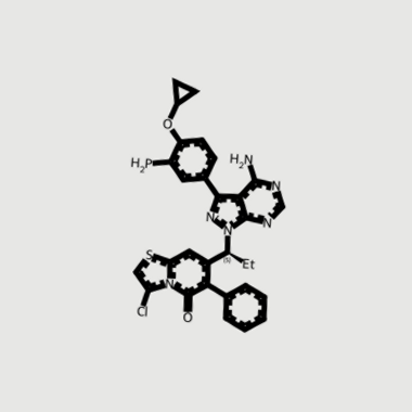 CC[C@@H](c1cc2scc(Cl)n2c(=O)c1-c1ccccc1)n1nc(-c2ccc(OC3CC3)c(P)c2)c2c(N)ncnc21